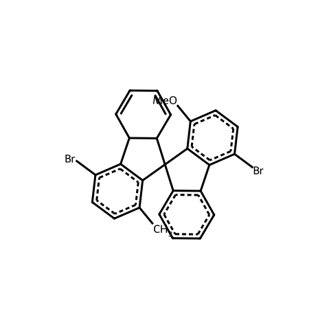 COc1ccc(Br)c2c1C1(c3ccccc3-2)c2c(C)ccc(Br)c2C2C=CC=CC21